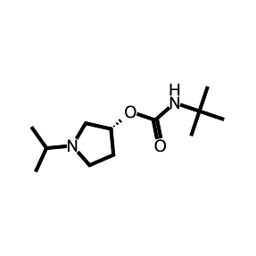 CC(C)N1CC[C@@H](OC(=O)NC(C)(C)C)C1